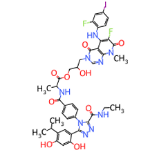 CCNC(=O)c1nnc(-c2cc(C(C)C)c(O)cc2O)n1-c1ccc(C(=O)NC(C)C(=O)OCC(O)Cn2cnc3c(c(Nc4ccc(I)cc4F)c(F)c(=O)n3C)c2=O)cc1